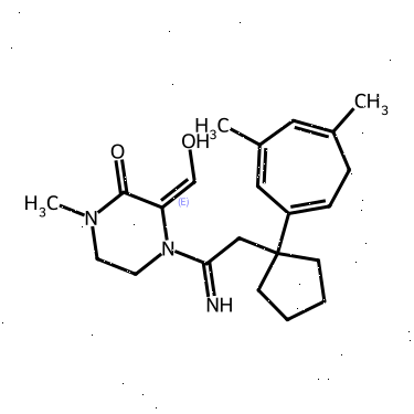 CC1=CC(C2(CC(=N)N3CCN(C)C(=O)/C3=C\O)CCCC2)=CCC(C)=C1